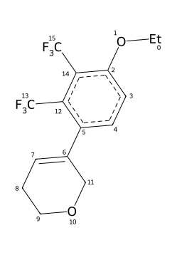 CCOc1ccc(C2=CCCOC2)c(C(F)(F)F)c1C(F)(F)F